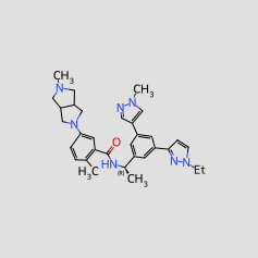 CCn1ccc(-c2cc(-c3cnn(C)c3)cc([C@@H](C)NC(=O)c3cc(N4CC5CN(C)CC5C4)ccc3C)c2)n1